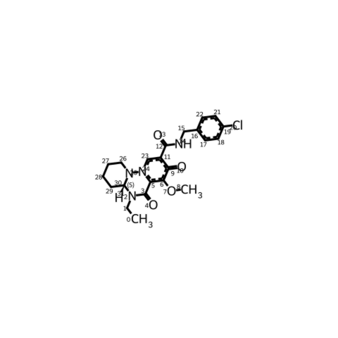 CCN1C(=O)c2c(OC)c(=O)c(C(=O)NCc3ccc(Cl)cc3)cn2N2CCCC[C@@H]12